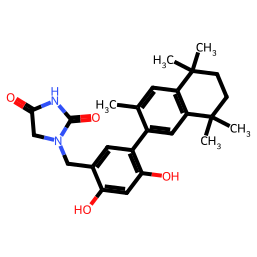 Cc1cc2c(cc1-c1cc(CN3CC(=O)NC3=O)c(O)cc1O)C(C)(C)CCC2(C)C